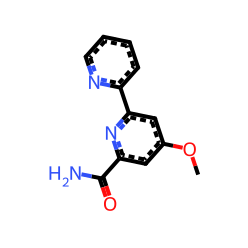 COc1cc(C(N)=O)nc(-c2ccccn2)c1